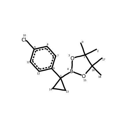 CC1(C)OB(C2(c3ccc(Cl)cc3)CC2)OC1(C)C